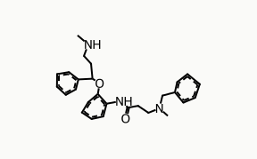 CNCCC(Oc1ccccc1NC(=O)CCN(C)Cc1ccccc1)c1ccccc1